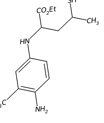 CCOC(=O)C(CC(C)S)Nc1ccc(N)c(C)c1